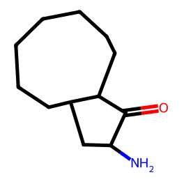 NC1CC2CCCCCCCC2C1=O